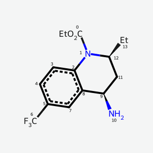 CCOC(=O)N1c2ccc(C(F)(F)F)cc2[C@H](N)C[C@@H]1CC